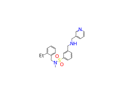 CCc1ccccc1CN(C)S(=O)(=O)c1cccc(CNCc2cccnc2)c1